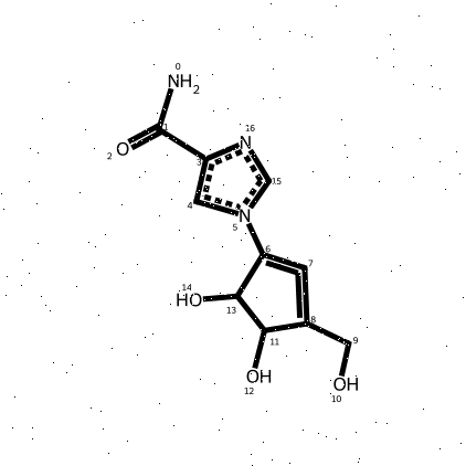 NC(=O)c1cn(C2=C=C(CO)C(O)C2O)cn1